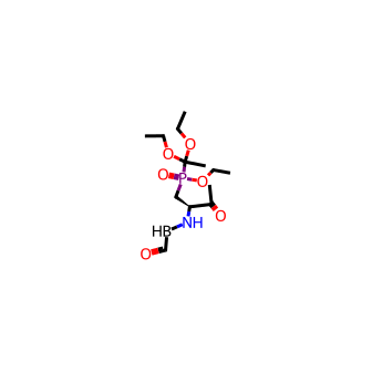 CCOC(C)(OCC)P(=O)(C[C@H](NBC=O)C(C)=O)OCC